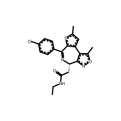 CCNC(=O)C[C@@H]1N=C(c2ccc(Cl)cc2)c2sc(C)cc2-c2c1noc2C